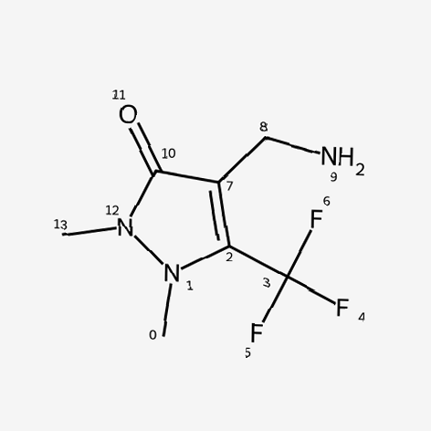 Cn1c(C(F)(F)F)c(CN)c(=O)n1C